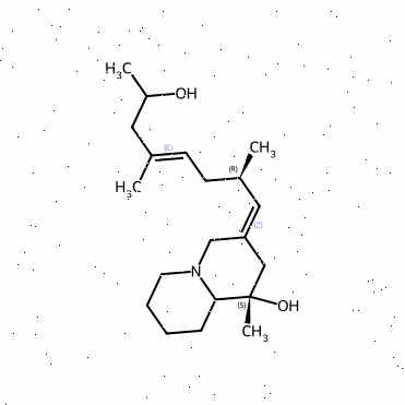 C/C(=C\C[C@@H](C)/C=C1\CN2CCCCC2[C@@](C)(O)C1)CC(C)O